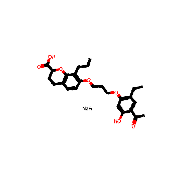 CCCc1c(OCCCOc2cc(O)c(C(C)=O)cc2CC)ccc2c1OC(C(=O)O)CC2.[NaH]